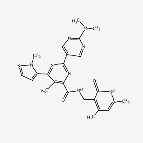 Cc1cc(C)c(CNC(=O)c2nc(-c3cnc(N(C)C)nc3)nc(-c3ccnn3C)c2C)c(=O)[nH]1